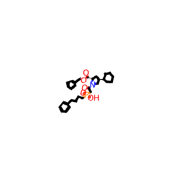 O=C(OCc1ccccc1)[C@@H]1C[C@@H](C2CCCCC2)CN1C(=O)CP(=O)(O)CCCCc1ccccc1